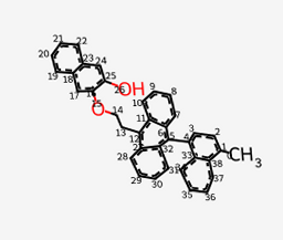 Cc1ccc(-c2c3ccccc3c(CCOc3cc4ccccc4cc3O)c3ccccc23)c2ccccc12